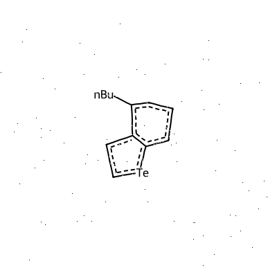 CCCCc1cccc2[te]ccc12